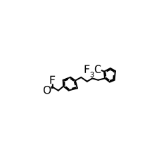 O=C(F)Cc1ccc(CCCCc2ccccc2C(F)(F)F)cc1